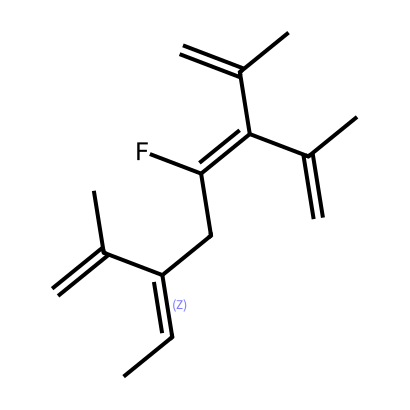 C=C(C)C(C(=C)C)=C(F)C/C(=C/C)C(=C)C